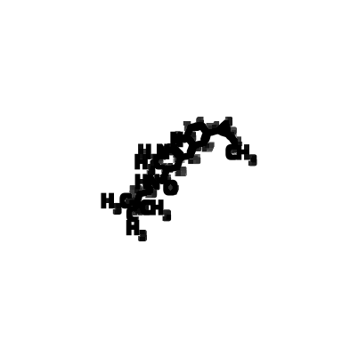 CCC1CC1c1ccc2nc(N)c(CC(C)C(=O)NCCC(C)(C)C)cc2c1